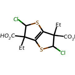 CCC1(C(=O)O)C2=C(SC1Cl)C(CC)(C(=O)O)C(Cl)S2